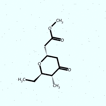 CC[C@H]1O[C@H](CC(=O)OC)CC(=O)[C@@H]1C